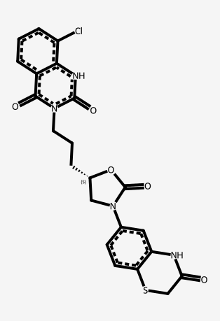 O=C1CSc2ccc(N3C[C@H](CCCn4c(=O)[nH]c5c(Cl)cccc5c4=O)OC3=O)cc2N1